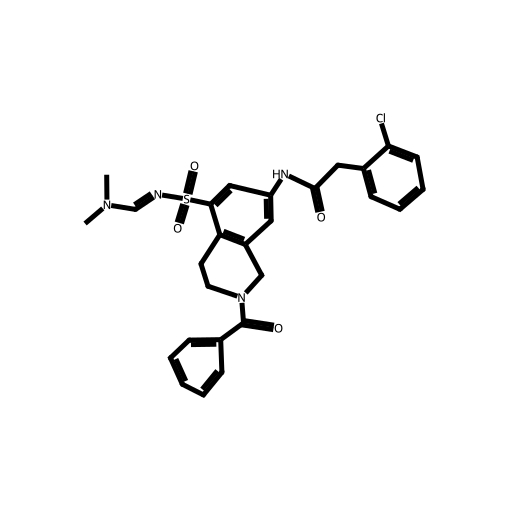 CN(C)/C=N/S(=O)(=O)c1cc(NC(=O)Cc2ccccc2Cl)cc2c1CCN(C(=O)c1ccccc1)C2